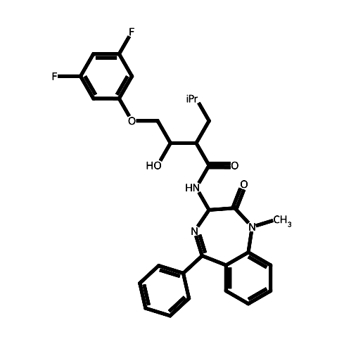 CC(C)CC(C(=O)NC1N=C(c2ccccc2)c2ccccc2N(C)C1=O)C(O)COc1cc(F)cc(F)c1